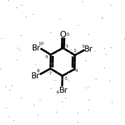 O=C1C(Br)=CC(Br)C(Br)=C1Br